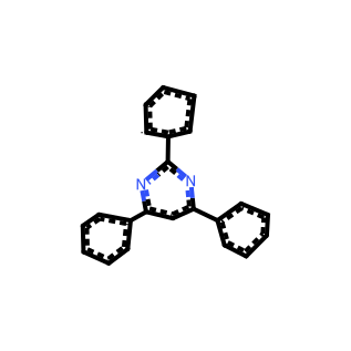 [c]1ccccc1-c1nc(-c2ccccc2)cc(-c2ccccc2)n1